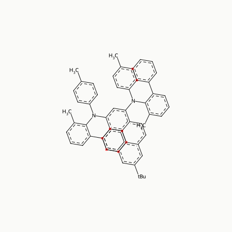 Cc1ccc(N(c2c(C)cccc2-c2ccccc2)c2cc(N(c3ccc(C)cc3)c3c(C)cccc3-c3ccccc3)c3ccc4cc(C(C)(C)C)cc5ccc2c3c54)cc1